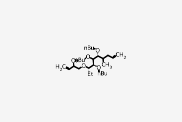 C=CCC(C)[C@@H](OCCCC)C(OCCCC)[C@@H](OCCCC)[C@H](CC)OCC(O)C=C